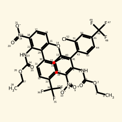 CCOC(=O)Nc1c([N+](=O)[O-])ccc(Oc2ccc([N+](=O)[O-])c(NC(=O)OCC)c2-c2ccc(C(F)(F)F)cc2Cl)c1-c1ccc(C(F)(F)F)cc1Cl